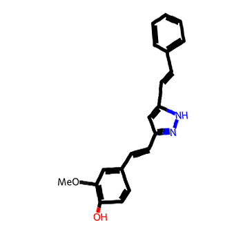 COc1cc(C=Cc2cc(C=Cc3ccccc3)[nH]n2)ccc1O